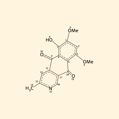 COc1cc(OC)c2c(c1O)C(=O)c1cc(C)ncc1C2=O